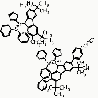 CC(C)(C)c1cc2c(cc1-c1ccccc1)[CH]([Zr+4]([C]1=CC=CC1)=[Si](c1ccccc1)c1ccccc1)c1cc(-c3ccccc3)c(C(C)(C)C)cc1-2.Cc1cc2c(cc1C(C)(C)C)-c1cc(C(C)(C)C)c(C)cc1[CH]2[Zr]([C]1=CC=CC1)=[Si](c1ccccc1)c1ccccc1.[Cl-].[Cl-].[Cl-].[Cl-]